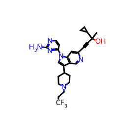 CC(O)(C#Cc1cc2c(cn1)c(C1CCN(CCC(F)(F)F)CC1)cn2-c1ccnc(N)n1)C1CC1